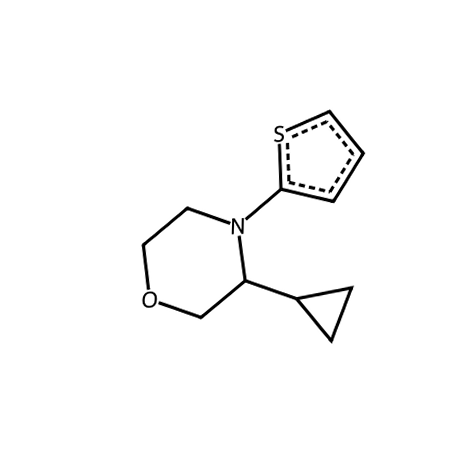 c1csc(N2CCOCC2C2CC2)c1